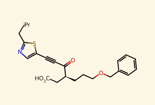 CC(C)Cc1ncc(C#CC(=O)[C@@H](CCCOCc2ccccc2)CC(=O)O)s1